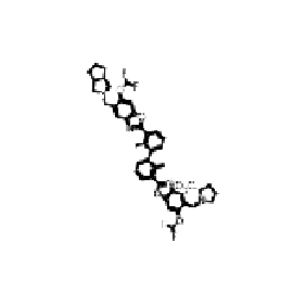 Cc1c(-c2nc3cc(CN4CC5CCCC5C4)c(OC(F)F)cc3o2)cccc1-c1cccc(-c2nc3cc(CN4CCC[C@H]4C(=O)O)c(OC(F)F)cc3o2)c1C